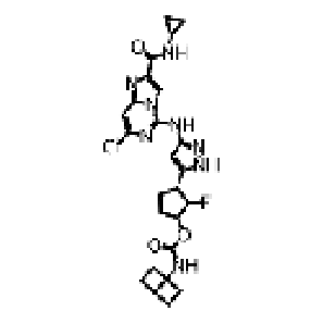 O=C(NC12CCC1CC2)O[C@H]1CC[C@@H](c2cc(Nc3nc(Cl)cc4nc(C(=O)NC5CC5)cn34)n[nH]2)[C@H]1F